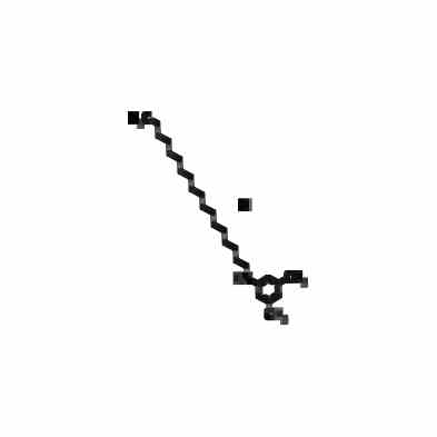 CCCCCCCCCCCCCCCCCCNc1cc(C)cc(C)c1.I